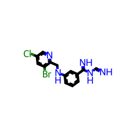 N=CNC(=N)c1cccc(NCc2ncc(Cl)cc2Br)c1